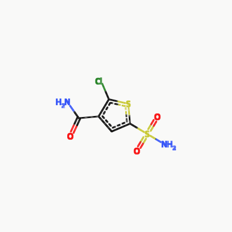 NC(=O)c1cc(S(N)(=O)=O)sc1Cl